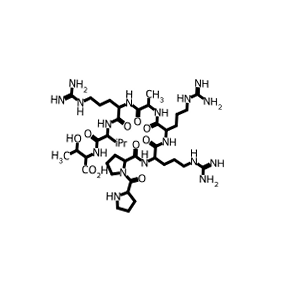 CC(NC(=O)C(CCCNC(=N)N)NC(=O)C(CCCNC(=N)N)NC(=O)C1CCCN1C(=O)C1CCCN1)C(=O)NC(CCCNC(=N)N)C(=O)NC(C(=O)NC(C(=O)O)C(C)O)C(C)C